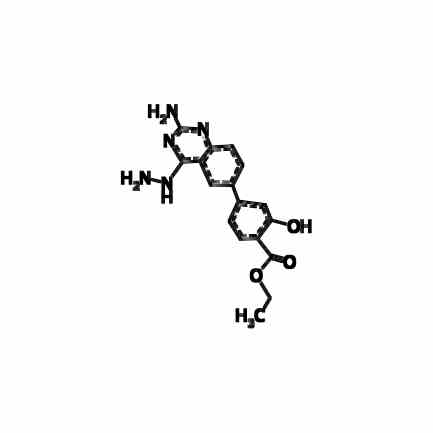 CCOC(=O)c1ccc(-c2ccc3nc(N)nc(NN)c3c2)cc1O